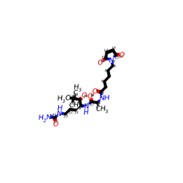 C[C@H](NC(=O)CCCCCN1C(=O)C=CC1=O)C(=O)N[C@@H](CCCNC(N)=O)C(=O)C(C)(C)C